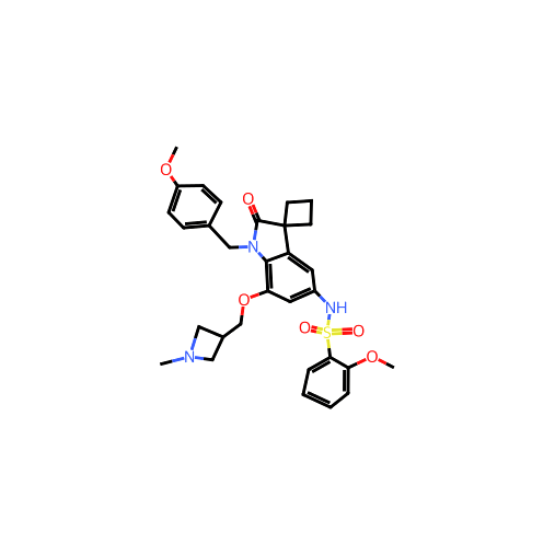 COc1ccc(CN2C(=O)C3(CCC3)c3cc(NS(=O)(=O)c4ccccc4OC)cc(OCC4CN(C)C4)c32)cc1